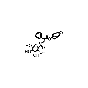 CN1C2CC(OC(=O)C(COC(=O)[C@H]3O[C@@H](O)[C@H](O)[C@@H](O)[C@@H]3O)c3ccccc3)CC1C1OC12